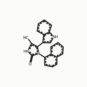 N#Cc1[nH]c(=O)n(-c2cccc3ccccc23)c1-c1c[nH]c2ccccc12